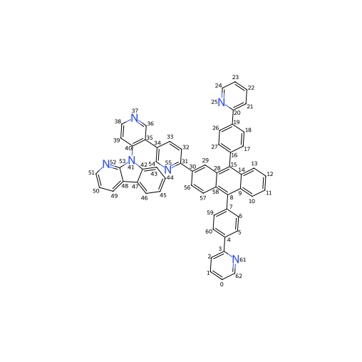 c1ccc(-c2ccc(-c3c4ccccc4c(-c4ccc(-c5ccccn5)cc4)c4cc(-c5ccc(-c6cnccc6-n6c7ccccc7c7cccnc76)cn5)ccc34)cc2)nc1